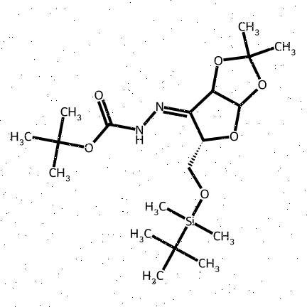 CC(C)(C)OC(=O)N/N=C1/C2OC(C)(C)OC2O[C@@H]1CO[Si](C)(C)C(C)(C)C